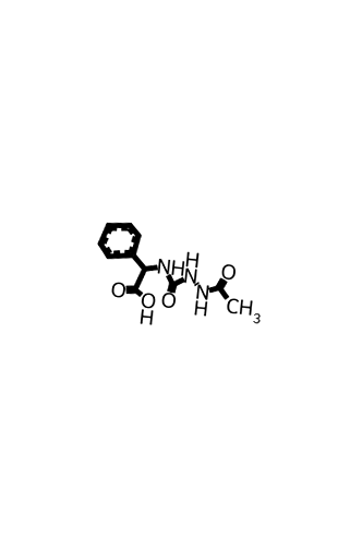 CC(=O)NNC(=O)NC(C(=O)O)c1ccccc1